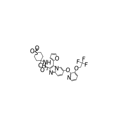 CC1(NC(=O)c2nc3ccc(Oc4ncccc4OCC(F)(F)F)cn3c2-c2ccco2)CCS(=O)(=O)CC1